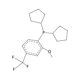 COc1cc(C(F)(F)F)ccc1P(C1CCCC1)C1CCCC1